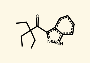 CCC(CC)(CC)C(=O)c1n[nH]c2ccccc12